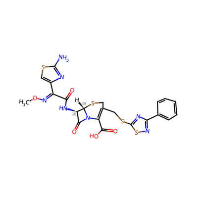 CON=C(C(=O)N[C@@H]1C(=O)N2C(C(=O)O)=C(CSc3nc(-c4ccccc4)ns3)CS[C@@H]12)c1csc(N)n1